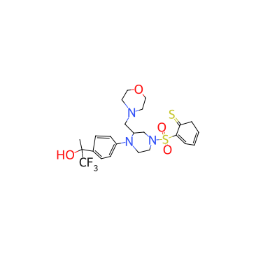 CC(O)(c1ccc(N2CCN(S(=O)(=O)C3=CC=CCC3=S)CC2CN2CCOCC2)cc1)C(F)(F)F